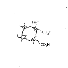 C=Cc1c(C)c2cc3nc(cc4[n-]c(cc5nc(cc1[n-]2)C(C)=C5C)c(C)c4CCC(=O)O)C(CCC(=O)O)=C3C.[Fe+2]